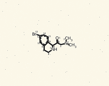 CN(C)CC(=O)C1NCCc2cc(Br)ccc21